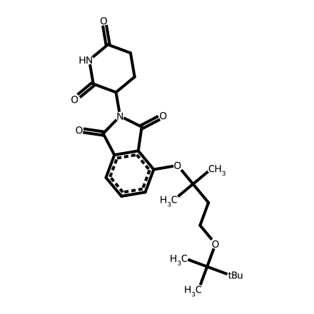 CC(C)(CCOC(C)(C)C(C)(C)C)Oc1cccc2c1C(=O)N(C1CCC(=O)NC1=O)C2=O